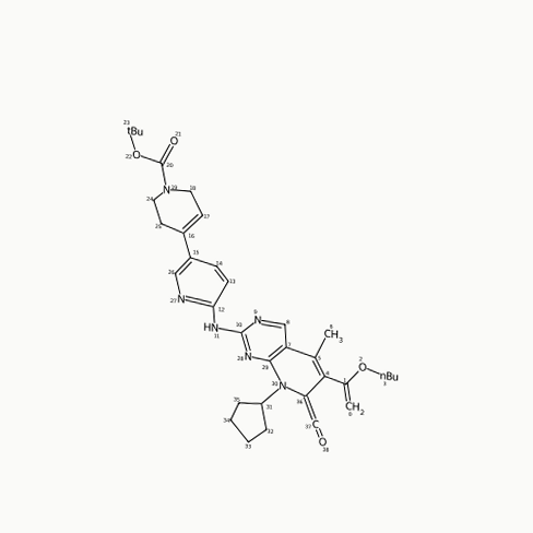 C=C(OCCCC)C1=C(C)c2cnc(Nc3ccc(C4=CCN(C(=O)OC(C)(C)C)CC4)cn3)nc2N(C2CCCC2)C1=C=O